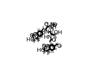 CC(=O)N[C@H](C(=O)N[C@@H](Cc1ccc(C(F)(F)P(=O)(O)O)cc1)C(=O)NN=O)[C@@H](C)O.O=Cc1ccc(C(F)(F)P(=O)(O)O)cc1